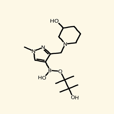 Cn1cc(B(O)OC(C)(C)C(C)(C)O)c(CN2CCCC(O)C2)n1